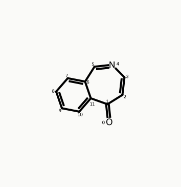 O=c1ccncc2ccccc12